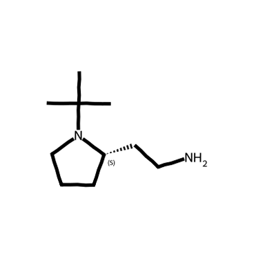 CC(C)(C)N1CCC[C@H]1CCN